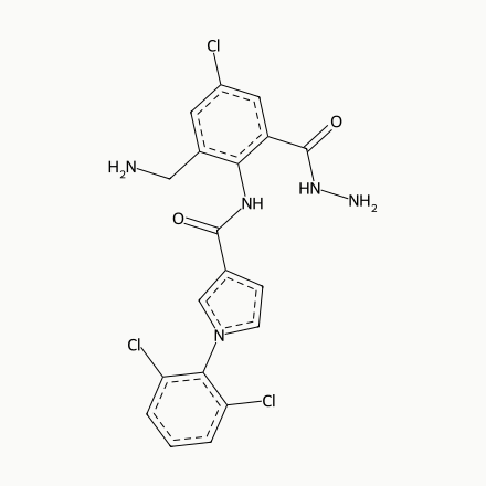 NCc1cc(Cl)cc(C(=O)NN)c1NC(=O)c1ccn(-c2c(Cl)cccc2Cl)c1